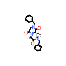 CCN(Cc1ccccc1)C(=O)[C@H](C)N1CC(=O)N(Cc2ccccc2)CC1=O